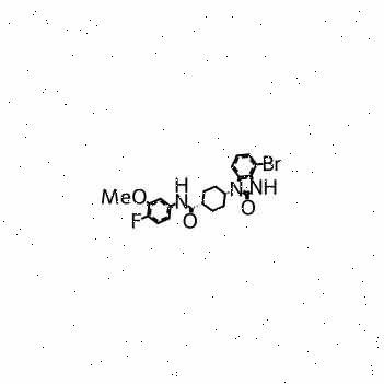 COc1cc(NC(=O)[C@H]2CC[C@@H](n3c(=O)[nH]c4c(Br)cccc43)CC2)ccc1F